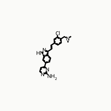 CN(C)Cc1ccc(C=Cc2n[nH]c3cc(-c4ccnc(N)n4)ccc23)cc1Cl